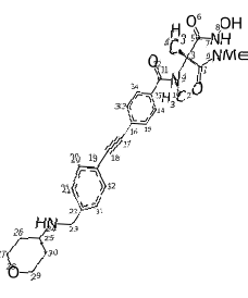 CNC(=O)[C@@](C)(C(=O)NO)N(C)C(=O)c1ccc(C#Cc2ccc(CNC3CCOCC3)cc2)cc1